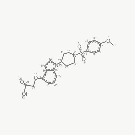 COc1ccc(S(=O)(=O)N2CCC(n3ccc4c(OCC(=O)O)cccc43)CC2)cc1